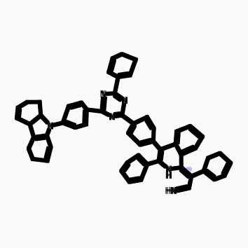 N=C/C(C1=CC=CCC1)=C1\NC(c2ccccc2)=C(c2ccc(-c3nc(C4=CCCC=C4)nc(-c4ccc(N5C6=C(CCC=C6)C6C=CCCC65)cc4)n3)cc2)c2ccccc21